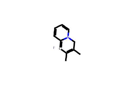 CC1=C(C)CN2C=CC=CC2=[C+]1.[I-]